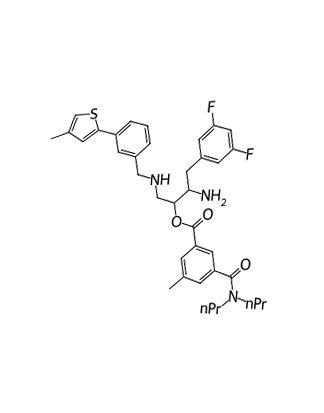 CCCN(CCC)C(=O)c1cc(C)cc(C(=O)OC(CNCc2cccc(-c3cc(C)cs3)c2)C(N)Cc2cc(F)cc(F)c2)c1